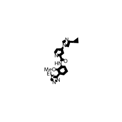 CCn1cnnc1-c1cccc(NC(=O)c2cc(-n3cnc(C4CC4)c3)ccn2)c1OC